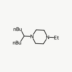 CCCCC(CCCC)N1CCN(CC)CC1